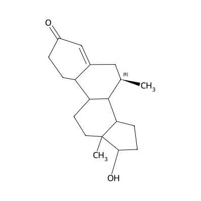 C[C@@H]1CC2=CC(=O)CCC2C2CCC3(C)C(O)CCC3C21